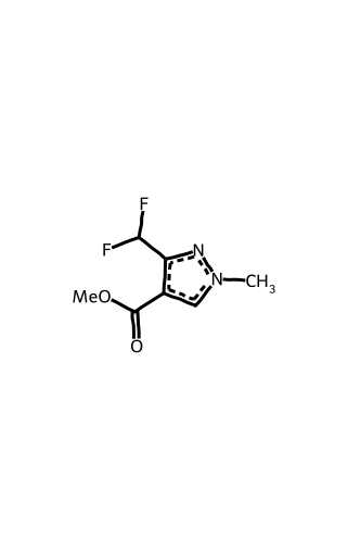 COC(=O)c1cn(C)nc1C(F)F